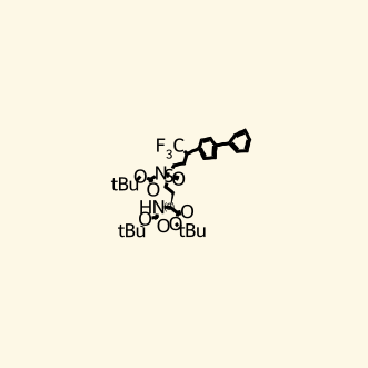 CC(C)(C)OC(=O)N=S(=O)(CCC(c1ccc(-c2ccccc2)cc1)C(F)(F)F)CC[C@H](NC(=O)OC(C)(C)C)C(=O)OC(C)(C)C